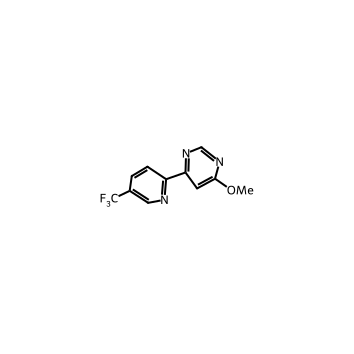 COc1cc(-c2ccc(C(F)(F)F)cn2)ncn1